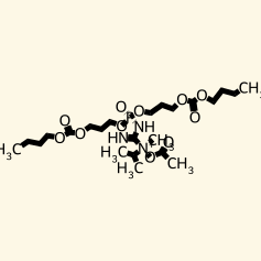 CCCCOC(=O)OCCCOP(=O)(NC(=N)[N+](C)(OC(C)=O)C(C)C)OCCCOC(=O)OCCCC